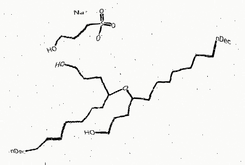 CCCCCCCCCCCCCCCCCC(CCCO)OC(CCCO)CCCCCCCCCCCCCCCCC.O=S(=O)([O-])CCCO.[Na+]